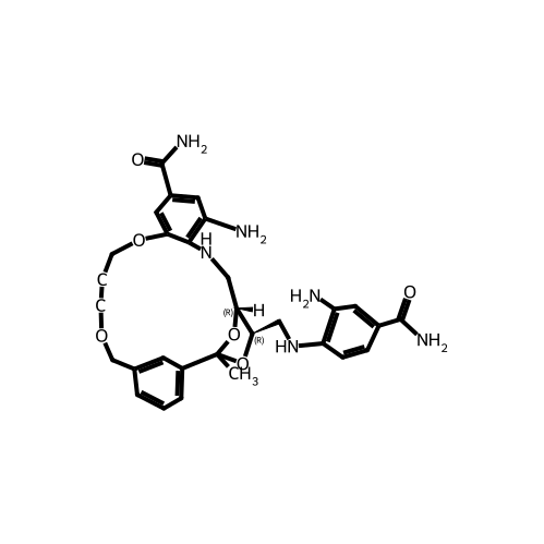 CC12O[C@H](CNc3ccc(C(N)=O)cc3N)[C@@H](CNc3c(N)cc(C(N)=O)cc3OCCCOCc3cccc1c3)O2